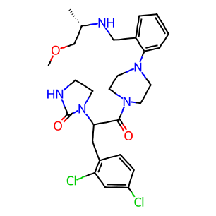 COC[C@H](C)NCc1ccccc1N1CCN(C(=O)C(Cc2ccc(Cl)cc2Cl)N2CCNC2=O)CC1